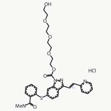 CNC(=O)c1ccccc1Sc1ccc2c(/C=C/c3ccccn3)nn(C(=O)OCCOCCOCCOCCO)c2c1.Cl